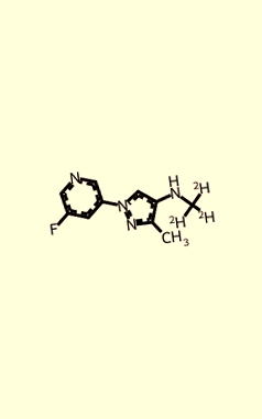 [2H]C([2H])([2H])Nc1cn(-c2cncc(F)c2)nc1C